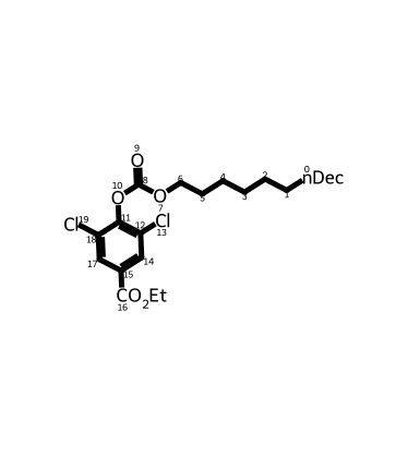 CCCCCCCCCCCCCCCCOC(=O)Oc1c(Cl)cc(C(=O)OCC)cc1Cl